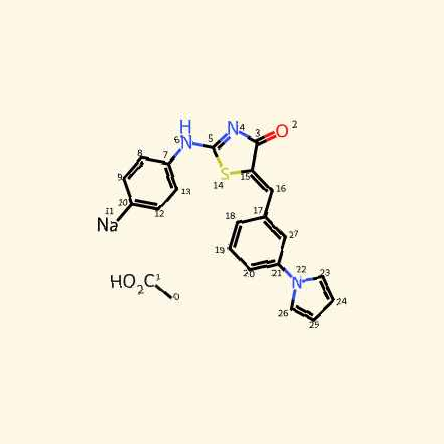 CC(=O)O.O=C1N=C(Nc2cc[c]([Na])cc2)SC1=Cc1cccc(-n2cccc2)c1